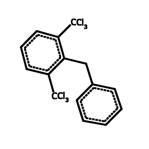 ClC(Cl)(Cl)c1cccc(C(Cl)(Cl)Cl)c1Cc1ccccc1